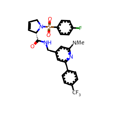 CNc1cc(CNC(=O)[C@@H]2C=CCN2S(=O)(=O)c2ccc(F)cc2)cc(-c2ccc(C(F)(F)F)cc2)n1